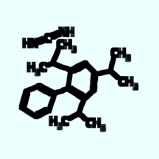 CC(C)c1cc(C(C)C)c(-c2ccccc2)c(C(C)C)c1.N=C=N